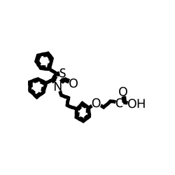 O=C(O)CCCOc1cccc(CCCn2c(-c3ccccc3)c(-c3ccccc3)sc2=O)c1